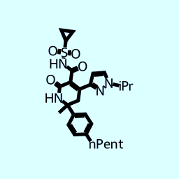 CCCCCc1ccc(C2(C)CC(c3ccn(C(C)C)n3)=C(C(=O)NS(=O)(=O)C3CC3)C(=O)N2)cc1